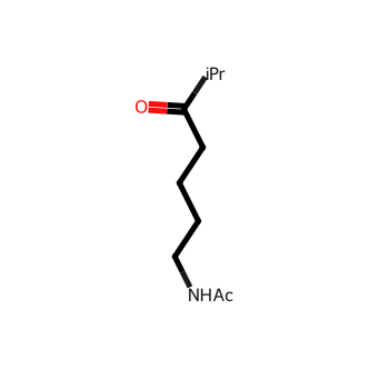 CC(=O)NCCCCC(=O)C(C)C